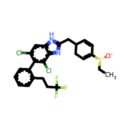 CC[S+]([O-])C1=CCC(Cc2nc3c(Cl)c(-c4ccccc4CCC(F)(F)F)c(Cl)cc3[nH]2)C=C1